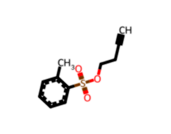 C#CCCOS(=O)(=O)c1ccccc1C